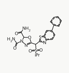 CC(C)S(=O)(=O)C(C1=NN(C(N)=O)C(C(N)=O)O1)c1nc2ccc(-c3ccccc3)cc2s1